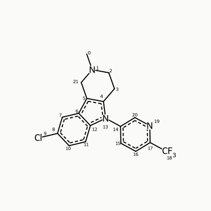 CN1CCc2c(c3cc(Cl)ccc3n2-c2ccc(C(F)(F)F)nc2)C1